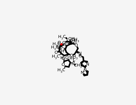 CC[C@H]1OC(=O)[C@H](C)C(=O)[C@H](C)[C@@H](O[C@@H]2O[C@H](C)C[C@H](N(C)C)[C@H]2O)[C@@]2(C)C[C@@H](C)/C(=N\C(C)=O)[C@H](C)[C@@H](OCC(=NOCc3ccc(-n4cccn4)nc3)CO2)[C@]1(C)O